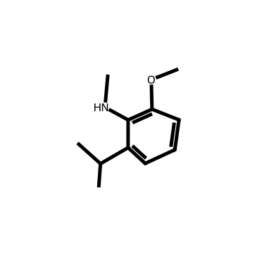 CNc1c(OC)cccc1C(C)C